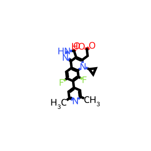 Cc1cc(-c2c(F)cc3c4n[nH]c(=O)c-4c(CC(=O)O)n(C4CC4)c3c2F)cc(C)n1